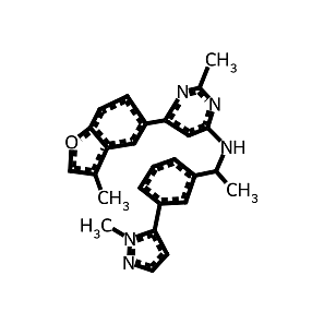 Cc1nc(NC(C)c2cccc(-c3ccnn3C)c2)cc(-c2ccc3occ(C)c3c2)n1